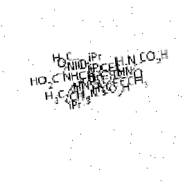 CC(C)CC(C)(C)COCC(C)NC(=O)[C@@H](N)CC(=O)O.CC(COC(C(C)C)C(C)C)NC(=O)[C@@H](N)CC(=O)O.CCC(C)(C)C(OCC(C)NC(=O)[C@@H](N)CC(=O)O)C(C)(C)CC